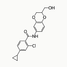 O=C(Nc1ccc2c(c1)OCC(CO)O2)c1ccc(C2CC2)cc1Cl